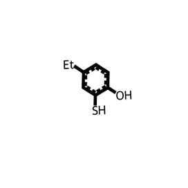 CCc1ccc(O)c(S)c1